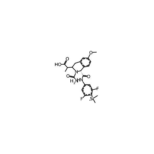 COc1ccc2c(c1)CC(C(C)C(=O)O)N(C(N)=O)[C@H]2C(=O)Nc1cc(F)c([Si](C)(C)C)c(F)c1